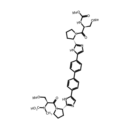 COC[C@H](NC(=O)OC)C(=O)N1CCC[C@H]1c1ncc(-c2ccc(-c3ccc(-c4cnc([C@@H]5CCCN5C(=O)[C@H](COC)N(C)C(=O)O)[nH]4)cc3)cc2)[nH]1